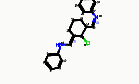 ClC1/C(=C/Nc2ccccc2)CCCC1/C=N\c1ccccc1